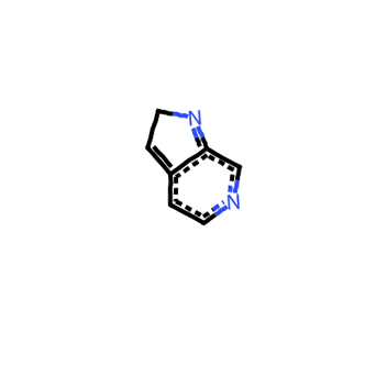 C1=c2ccncc2=NC1